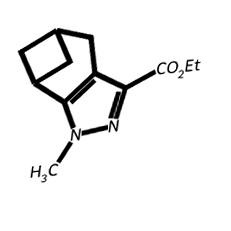 CCOC(=O)c1nn(C)c2c1CC1CC2C1